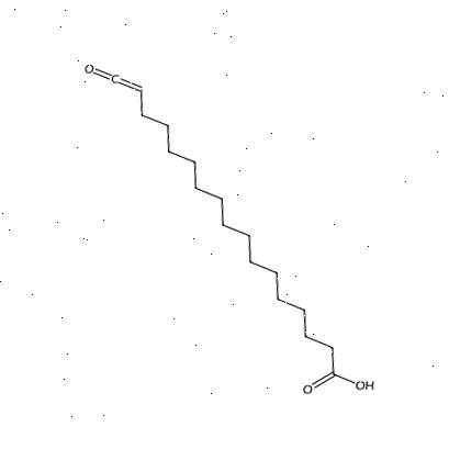 O=C=CCCCCCCCCCCCCCCC(=O)O